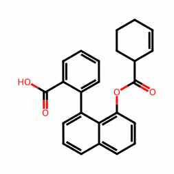 O=C(O)c1ccccc1-c1cccc2cccc(OC(=O)C3C=CCCC3)c12